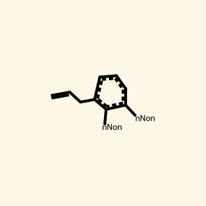 C=CCc1cccc(CCCCCCCCC)c1CCCCCCCCC